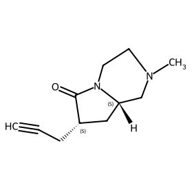 C#CC[C@H]1C[C@H]2CN(C)CCN2C1=O